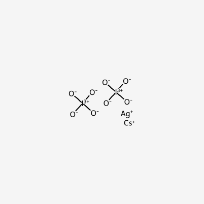 [Ag+].[Cs+].[O-][I+3]([O-])([O-])[O-].[O-][I+3]([O-])([O-])[O-]